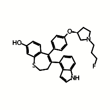 Oc1ccc2c(c1)SCCC(c1cccc3[nH]ccc13)=C2c1ccc(O[C@H]2CCN(CCCF)C2)cc1